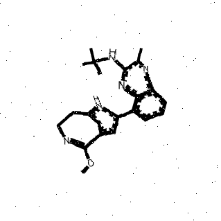 COC1=NCCc2[nH]c(-c3cccc4nc(C)c(NC(C)(C)C)nc34)cc21